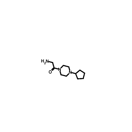 NCC(=O)N1CCN(C2CCCC2)CC1